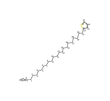 CCCCCCCCCCCCCCCCCCCCCCCCCCCCCCCc1cccs1